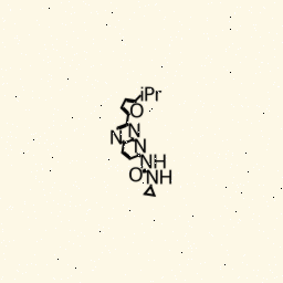 CC(C)c1ccc(-c2cnc3ccc(NC(=O)NC4CC4)nc3n2)o1